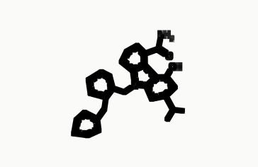 CC(C)c1cc(O)c2c3c(C(N)=O)cccc3n(Cc3ccccc3Cc3ccccc3)c2c1